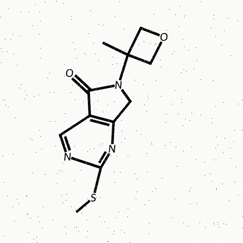 CSc1ncc2c(n1)CN(C1(C)COC1)C2=O